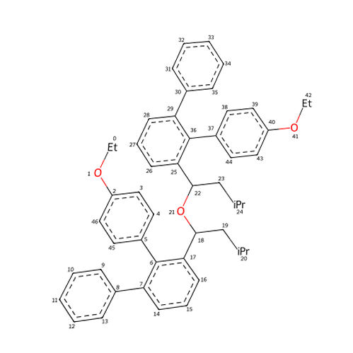 CCOc1ccc(-c2c(-c3ccccc3)cccc2C(CC(C)C)OC(CC(C)C)c2cccc(-c3ccccc3)c2-c2ccc(OCC)cc2)cc1